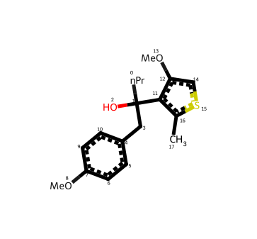 CCCC(O)(Cc1ccc(OC)cc1)c1c(OC)csc1C